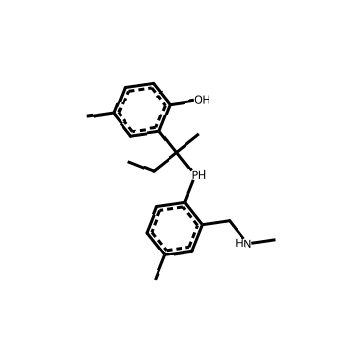 CCC(C)(Pc1ccc(C)cc1CNC)c1cc(C)ccc1O